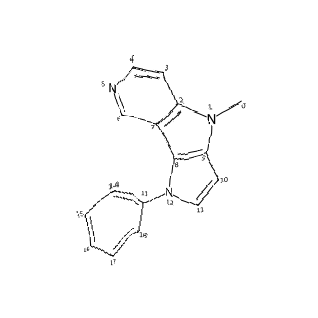 Cn1c2ccncc2c2c1ccn2-c1ccccc1